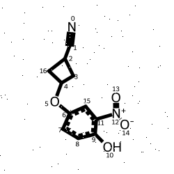 N#CC1CC(Oc2ccc(O)c([N+](=O)[O-])c2)C1